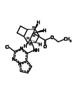 CCOC(=O)[C@@H]1[C@@H](Nc2nc(Cl)nn3cccc23)[C@@H]2CC[C@H]1C1CCC12